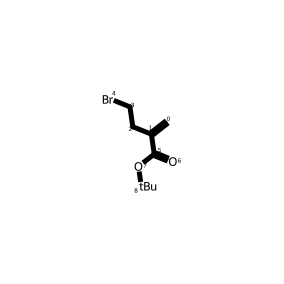 C=C(CCBr)C(=O)OC(C)(C)C